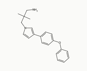 CC(C)(CN)Cn1ccc(-c2ccc(Oc3ccccc3)cc2)c1